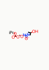 CC(C)OC(=O)OCON=[N+]([O-])N1CC(O)C1